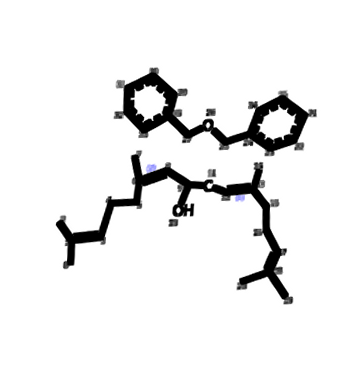 CC(C)=CCC/C(C)=C\C(O)C/C=C(\C)CCC=C(C)C.c1ccc(COCc2ccccc2)cc1